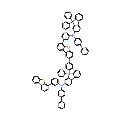 c1ccc(-c2ccc(N(c3cccc(-c4cccc5c4oc4ccc(-c6ccc(C7(c8ccccc8)c8ccccc8-c8ccc(N(c9ccc(-c%10ccccc%10)cc9)c9cccc(-c%10cccc%11c%10sc%10ccccc%10%11)c9)cc87)cc6)cc45)c3)c3ccc4c(c3)C(c3ccccc3)(c3ccccc3)c3ccccc3-4)cc2)cc1